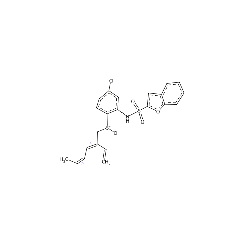 C=C/C(=C\C=C/C)C[S+]([O-])c1ccc(Cl)cc1NS(=O)(=O)c1cc2ccccc2o1